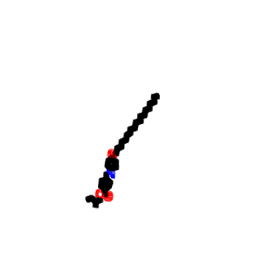 CCCCCCCCCCCCCCCCCCCOc1ccc(N=Cc2ccc(C(=O)OCC(C)CC)cc2)cc1